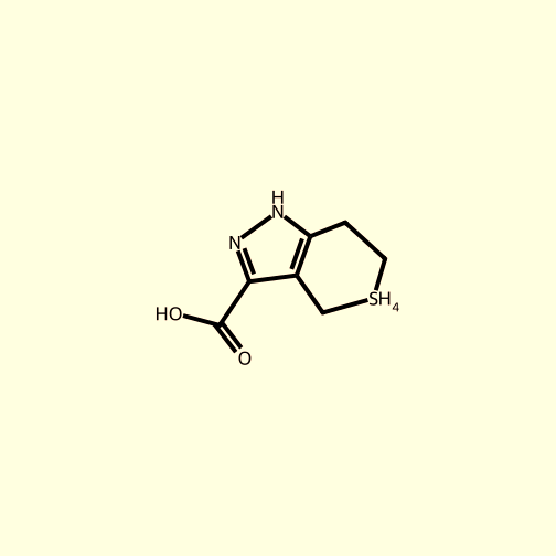 O=C(O)c1n[nH]c2c1C[SH4]CC2